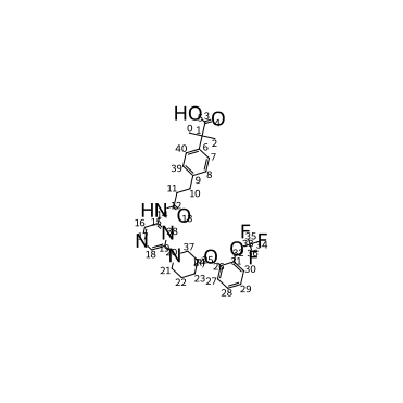 CC(C)(C(=O)O)c1ccc(CCC(=O)Nc2cncc(N3CCC[C@@H](Oc4ccccc4OC(F)(F)F)C3)n2)cc1